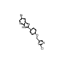 Clc1ncc(COc2ccc(-c3nc4cc(Br)cnc4[nH]3)cc2)s1